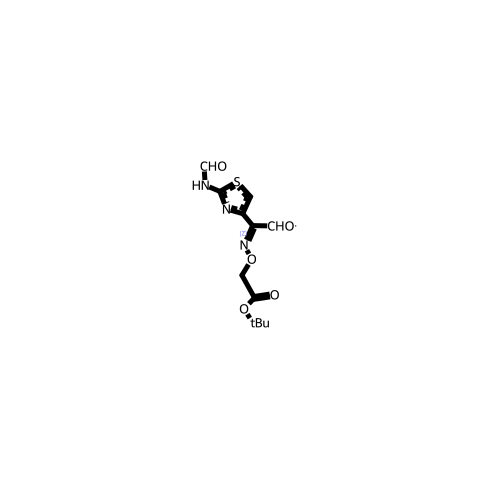 CC(C)(C)OC(=O)CO/N=C(\[C]=O)c1csc(NC=O)n1